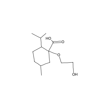 CC1CCC(C(C)C)C(OCCO)(C(=O)O)C1